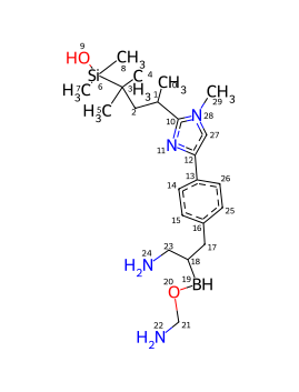 CC(CC(C)(C)[Si](C)(C)O)c1nc(-c2ccc(CC(BOCN)CN)cc2)cn1C